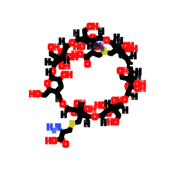 N[C@H](CSCC1C[C@@H]2C[C@@H]3C(CO)O[C@H](O[C@@H]4C(CO)O[C@H](O[C@@H]5C(CSC[C@@H](N)C(=O)O)O[C@H](O[C@H]6CC(O)[C@H](OC6CO)O[C@@H]6C(CO)O[C@H](O[C@@H]7C(CO)O[C@H](O[C@H]1[C@H](O)C2O)C(O)[C@H]7O)C(O)[C@H]6O)C(O)[C@H]5O)C(O)[C@H]4O)C(O)[C@H]3O)C(=O)O